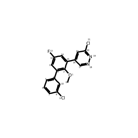 COc1c(-c2cccc(Cl)c2)cc(F)cc1-c1cnnc(Cl)c1